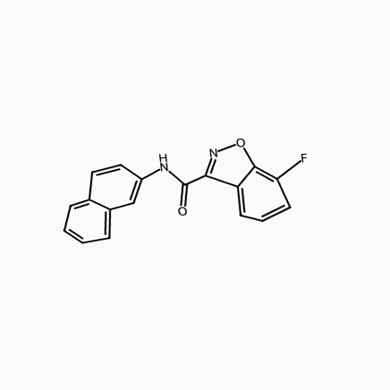 O=C(Nc1ccc2ccccc2c1)c1noc2c(F)cccc12